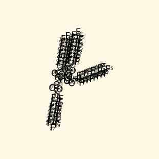 O=S(=O)(CCC(F)(F)C(F)(F)C(F)(F)C(F)(F)C(F)(F)C(F)(F)C(F)(F)C(F)(F)F)OCC(OS(=O)(=O)CCC(F)(F)C(F)(F)C(F)(F)C(F)(F)C(F)(F)C(F)(F)C(F)(F)C(F)(F)F)C(COS(=O)(=O)CCC(F)(F)C(F)(F)C(F)(F)C(F)(F)C(F)(F)C(F)(F)C(F)(F)C(F)(F)F)OS(=O)(=O)CCC(F)(F)C(F)(F)C(F)(F)C(F)(F)C(F)(F)C(F)(F)C(F)(F)C(F)(F)F